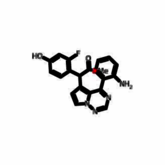 COC(=O)C(c1ccc(O)cc1F)c1ccn2ncnc(-c3ccccc3N)c12